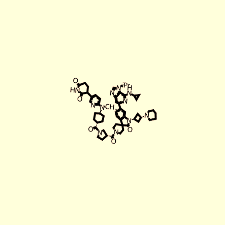 CC(C)n1cnc2cc(-c3ccc4c(c3)N([C@H]3C[C@@H](N5CCCCC5)C3)C(=O)C43CCN(C(=O)[C@@H]4CCN(C(=O)[C@H]5CC[C@H](N(C)c6ccc(C7CCC(=O)NC7=O)cn6)CC5)C4)CC3)nc(NC3CC3)c21